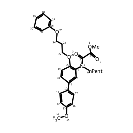 CCCCCN(C(=O)C(=O)OC)c1cc(-c2ccc(OC(F)(F)F)cc2)ccc1OCCCOc1ccccc1